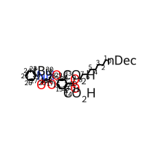 CCCCCCCCCCCCCCCCCCOC(=O)c1c(C(=O)O)cc(OC(C(=O)Nc2ccccc2)C(=O)C(C)(C)C)cc1C(=O)O